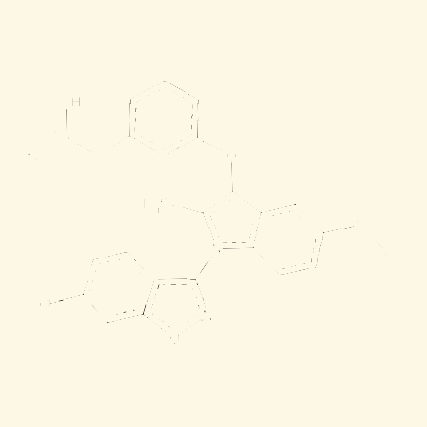 CC(=O)[C@H](C)Oc1cccc(Oc2c(C)n(-c3noc4cc(Cl)ccc34)c3ccc(OC(F)(F)F)cc23)c1